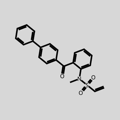 C=CS(=O)(=O)N(C)c1ccccc1C(=O)c1ccc(-c2ccccc2)cc1